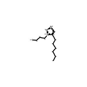 CCCCCCc1cnnn1CCCI